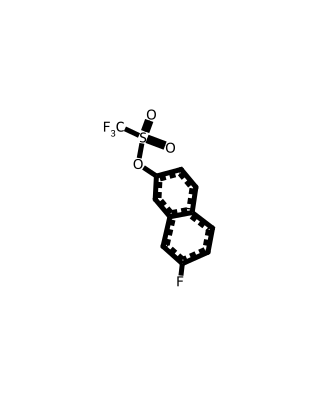 O=S(=O)(Oc1ccc2ccc(F)cc2c1)C(F)(F)F